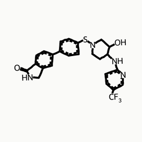 O=C1NCc2cc(-c3ccc(SN4CCC(Nc5ccc(C(F)(F)F)cn5)C(O)C4)cc3)ccc21